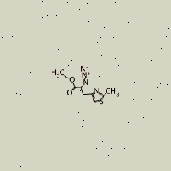 CCOC(=O)C(Cc1csc(C)n1)N=[N+]=[N-]